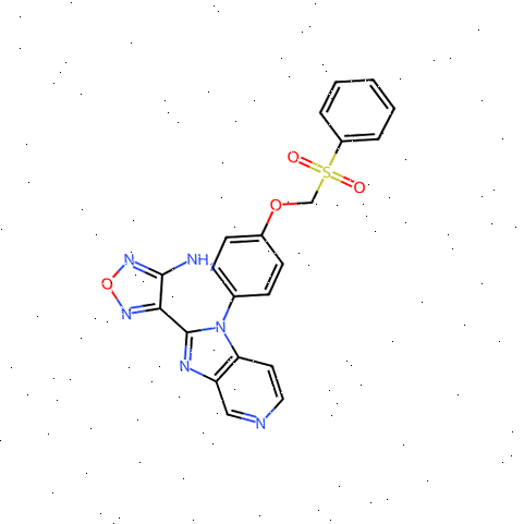 Nc1nonc1-c1nc2cnccc2n1-c1ccc(OCS(=O)(=O)c2ccccc2)cc1